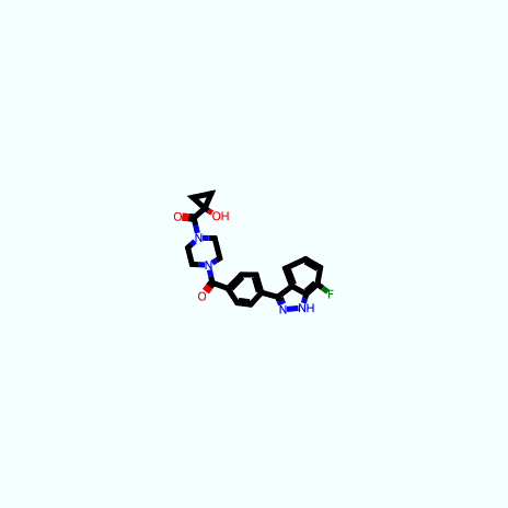 O=C(c1ccc(-c2n[nH]c3c(F)cccc23)cc1)N1CCN(C(=O)C2(O)CC2)CC1